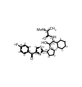 CN[C@@H](C)C(=O)N[C@@H](C1CCCCC1)C(O)N1CCC[C@H]1c1nc(C(=O)c2ccc(F)cc2)cs1